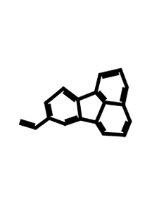 C=Cc1ccc2c(c1)-c1cccc3cccc-2c13